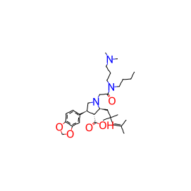 CCCCN(CCCN(C)C)C(=O)CN1C[C@H](c2ccc3c(c2)OCO3)[C@@H](C(=O)O)[C@@H]1CC(C)(C)C=C(C)C